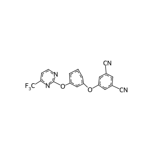 N#Cc1cc(C#N)cc(Oc2cccc(Oc3nccc(C(F)(F)F)n3)c2)c1